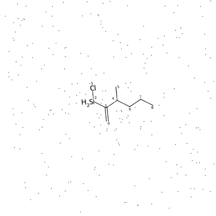 C=C([SiH2]Cl)C(C)CCC